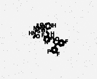 CC(=O)Nc1nc(C)c(S(=O)(=O)N2CCNC[C@@H]2CCc2c(F)cncc2NC(=O)C[C@@H](c2ccc(F)cc2)c2cc(F)cc(F)c2)s1